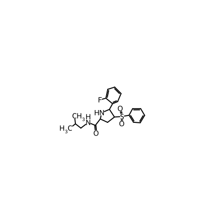 CC(C)CNC(=O)C1CC(S(=O)(=O)c2ccccc2)C(c2ccccc2F)N1